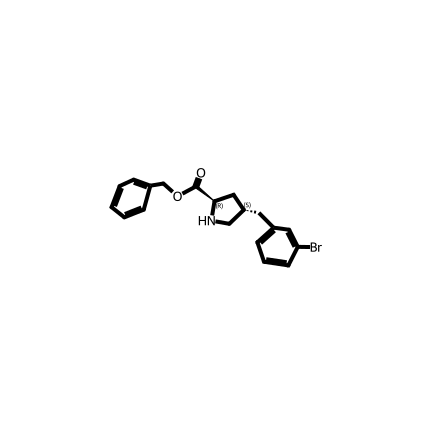 O=C(OCc1ccccc1)[C@H]1C[C@H](Cc2cccc(Br)c2)CN1